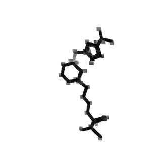 CC(C)C(=O)CCCCN1CCC[C@H](Cn2cc(C(C)C)cn2)C1